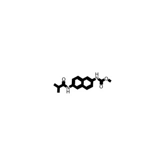 COC(=O)Nc1ccc2cc(NC(=O)C(C)C)ccc2c1